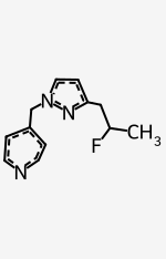 CC(F)Cc1ccn(Cc2ccncc2)n1